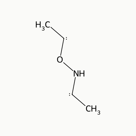 C[C]NO[C]C